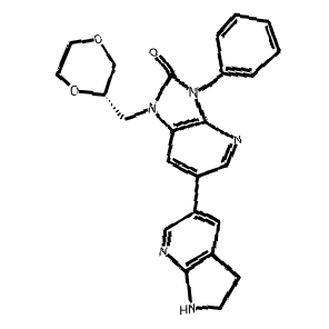 O=c1n(C[C@H]2COCCO2)c2cc(-c3cnc4c(c3)CCN4)cnc2n1-c1ccccc1